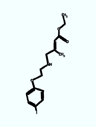 CCOC(=O)/C=C(\C)CNCCOc1ccc(I)cc1